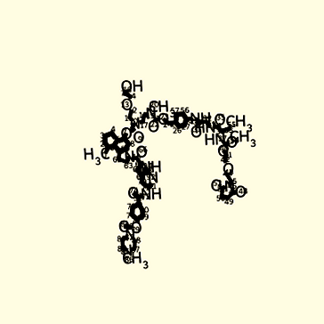 Cc1cccc2c(OC(=O)N(CCOCCO)CCN(C)C(=O)OCc3ccc(NC(=O)CNC(=O)C(NC(=O)OCCOCCN4C(=O)C=CC4=O)C(C)C)cc3)cc3c(c12)CCN3C(=O)c1cc2cc(NC(=O)c3ccc(OC(=O)N4CCN(C)CC4)cc3)cnc2[nH]1